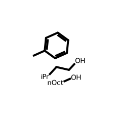 CC(C)CCO.CCCCCCCCO.Cc1ccccc1